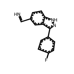 N=Cc1ccc2[nH]nc(-c3ccc(F)cc3)c2c1